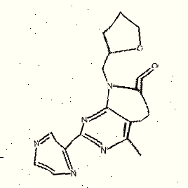 Cc1nc(-c2cnccn2)nc2c1CC(=O)N2CC1CCCO1